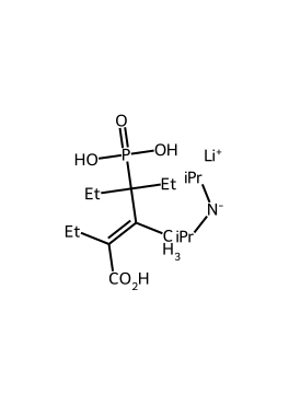 CC(C)[N-]C(C)C.CCC(C(=O)O)=C(C)C(CC)(CC)P(=O)(O)O.[Li+]